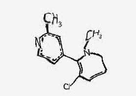 Cc1cc(C2=C(Cl)C=CCN2C)ccn1